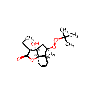 CCC1C(=O)O[C@]23CC=CC[C@@H]2[C@H](OOC(C)(C)C)C[C@]13O